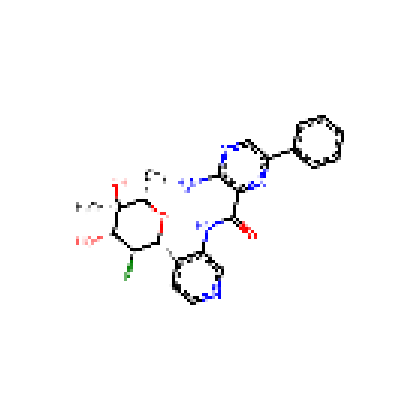 C[C@@H]1O[C@H](c2ccncc2NC(=O)c2nc(-c3ccccc3)cnc2N)[C@@H](F)[C@H](O)[C@@]1(C)O